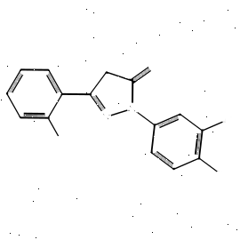 O=C1CC(c2ccccc2O)=NN1c1ccc(F)c(Cl)c1